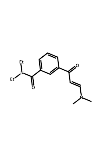 CCN(CC)C(=O)c1cccc(C(=O)C=CN(C)C)c1